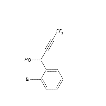 OC(C#CC(F)(F)F)c1ccccc1Br